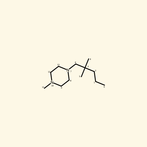 CCCC(C)(C)CN1CCN(C)CC1